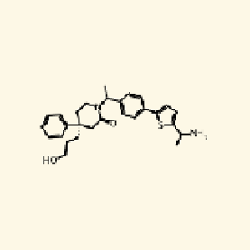 CC(N)c1ccc(-c2ccc([C@H](C)N3CC[C@](CCCO)(c4ccccc4)CC3=O)cc2)s1